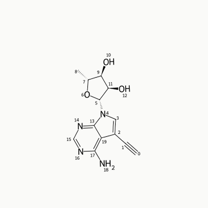 C#Cc1cn([C@@H]2O[C@H](C)[C@@H](O)[C@H]2O)c2ncnc(N)c12